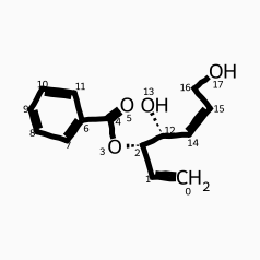 C=C[C@H](OC(=O)c1ccccc1)[C@H](O)/C=C\CO